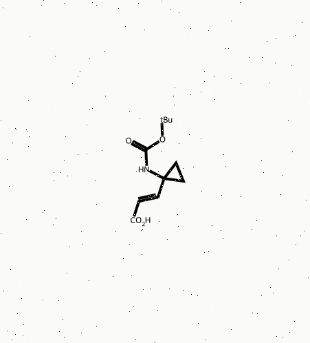 CC(C)(C)OC(=O)NC1(C=CC(=O)O)CC1